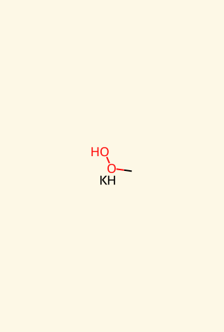 COO.[KH]